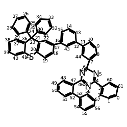 c1ccc(-c2nc(-c3cccc(-c4cccc(-c5ccc6c(c5)C(c5ccccc5)(c5ccccc5)c5ccccc5S6)c4)c3)nc(-c3ccccc3-c3ccccc3)n2)cc1